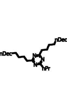 [CH2]CCc1nc(CCCCCCCCCCCCCC)nc(CCCCCCCCCCCCCC)n1